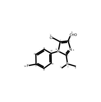 CN(C)c1nc(C=O)c(Cl)n1-c1ccc(F)cc1